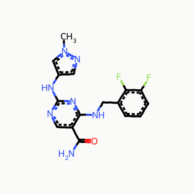 Cn1cc(Nc2ncc(C(N)=O)c(NCc3cccc(F)c3F)n2)cn1